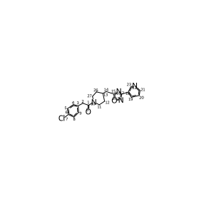 O=C(Cc1ccc(Cl)cc1)N1CCC(Cc2nc(-c3cccnc3)no2)CC1